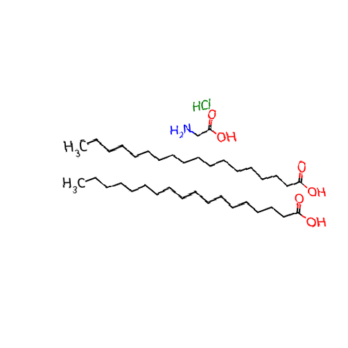 CCCCCCCCCCCCCCCCCC(=O)O.CCCCCCCCCCCCCCCCCC(=O)O.Cl.NCC(=O)O